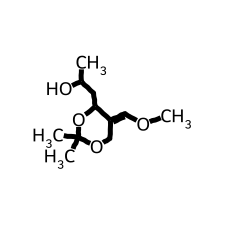 COC=C1COC(C)(C)OC1CC(C)O